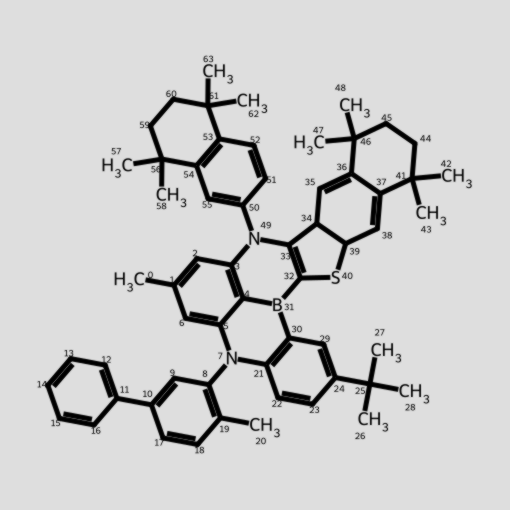 Cc1cc2c3c(c1)N(c1cc(-c4ccccc4)ccc1C)c1ccc(C(C)(C)C)cc1B3C1=C(C3C=C4C(=CC3S1)C(C)(C)CCC4(C)C)N2c1ccc2c(c1)C(C)(C)CCC2(C)C